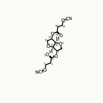 N#COCCC(=O)O[C@@H]1CO[C@H]2[C@@H]1OC[C@H]2OC(=O)CCOC#N